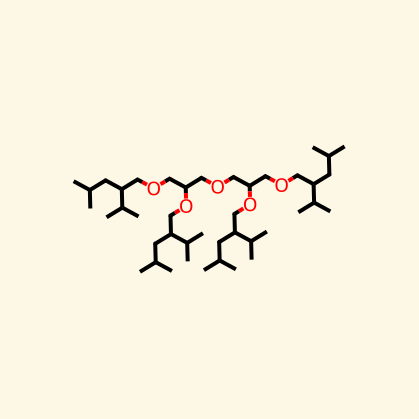 CC(C)CC(COCC(COCC(COCC(CC(C)C)C(C)C)OCC(CC(C)C)C(C)C)OCC(CC(C)C)C(C)C)C(C)C